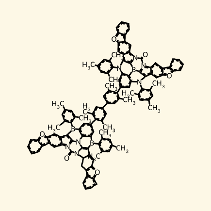 Cc1cc(C)c(B2C3=C4N5c6c2cc(-c2c(C)cc(-c7cc(C)c(-c8cc9c%10c(c8)N(c8c(C)cc(C)cc8C)c8c%11n(c%12cc%13c(cc8%12)oc8ccccc8%13)C(=O)n8c(c(c%12cc%13oc%14ccccc%14c%13cc%128)N9c8c(C)cc(C)cc8C)B%10%11)c(C)c7)cc2C)cc6B(c2c(C)cc(C)cc2C)c2c5n(c5cc6c(cc25)oc2ccccc26)C(=O)N4C2Cc4c(oc5ccccc45)C=C32)c(C)c1